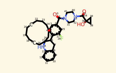 O=C(c1ccc(C2Cc3ccccc3NC23CCCCCCCCCCC3)c(F)c1)N1CCN(C(=O)C2(O)CC2)CC1